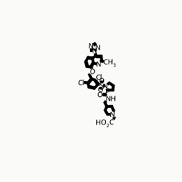 Cc1cc(-n2cncn2)c2cccc(OCc3c(Cl)ccc(S(=O)(=O)N4CCC[C@H]4C(=O)NCC4CCN(CC(=O)O)CC4)c3Cl)c2n1